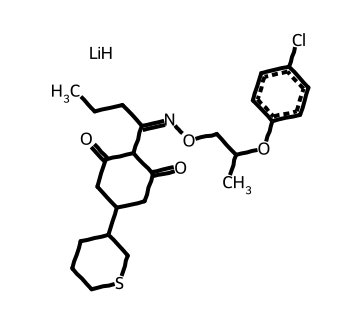 CCCC(=NOCC(C)Oc1ccc(Cl)cc1)C1C(=O)CC(C2CCCSC2)CC1=O.[LiH]